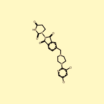 O=C1CCN(N2C(=O)c3ccc(CN4CCN(c5ncc(Cl)cc5Cl)CC4)cc3C2=O)C(=O)N1